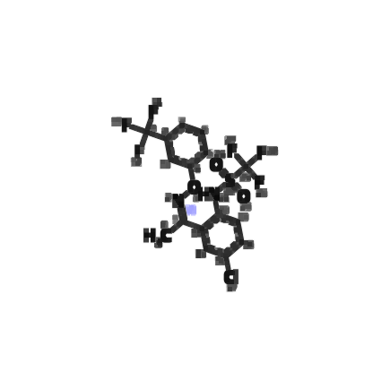 C/C(=N/Oc1cccc(C(F)(F)F)c1)c1cc(Cl)ccc1NS(=O)(=O)C(F)(F)F